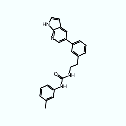 Cc1cccc(NC(=O)NCCc2cccc(-c3cnc4[nH]ccc4c3)c2)c1